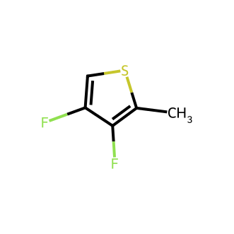 Cc1scc(F)c1F